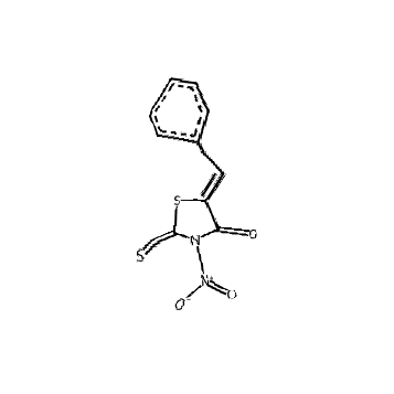 O=C1C(=Cc2ccccc2)SC(=S)N1[N+](=O)[O-]